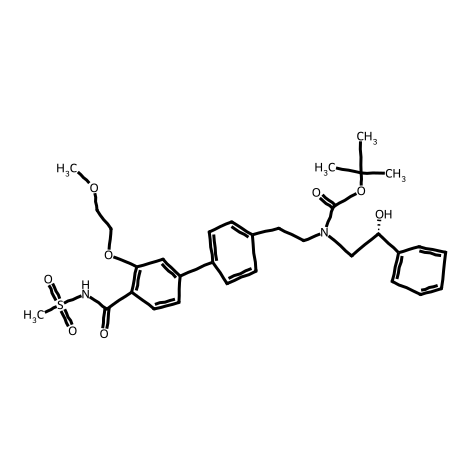 COCCOc1cc(-c2ccc(CCN(C[C@H](O)c3ccccc3)C(=O)OC(C)(C)C)cc2)ccc1C(=O)NS(C)(=O)=O